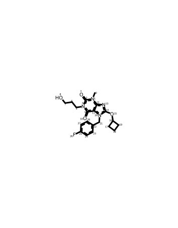 Cn1c(=O)n(CCCO)c(=O)c2c1nc(OC1CCC1)n2Cc1ccc(F)cc1